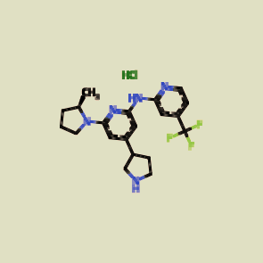 C[C@@H]1CCCN1c1cc(C2CCNC2)cc(Nc2cc(C(F)(F)F)ccn2)n1.Cl